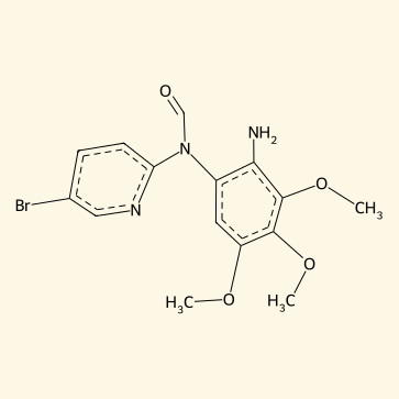 COc1cc(N(C=O)c2ccc(Br)cn2)c(N)c(OC)c1OC